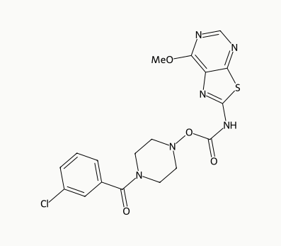 COc1ncnc2sc(NC(=O)ON3CCN(C(=O)c4cccc(Cl)c4)CC3)nc12